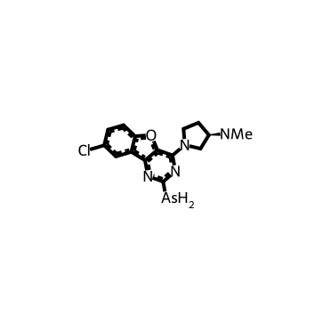 CN[C@@H]1CCN(c2nc([AsH2])nc3c2oc2ccc(Cl)cc23)C1